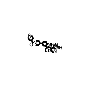 CCc1c(-c2ccnc3[nH]ncc23)[nH]c2ccc(C3CCN(C(=O)C4CCN(C)CC4)CC3)cc12